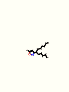 CCCCCCC(CCCCC)c1cc(C)on1